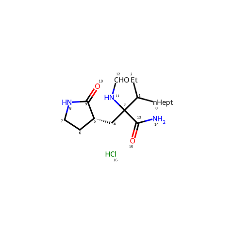 CCCCCCCC(CC)C(C[C@@H]1CCNC1=O)(NC=O)C(N)=O.Cl